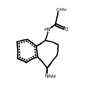 CNC1CCC(NC(=O)OC)c2ccccc21